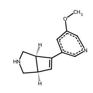 COc1cncc(C2=C[C@H]3CNC[C@@H]23)c1